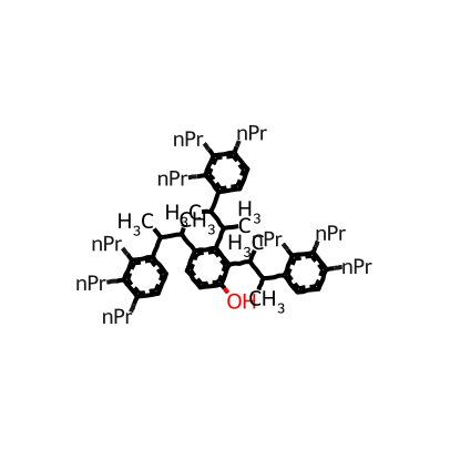 CCCc1ccc(C(C)C(C)c2ccc(O)c(C(C)C(C)c3ccc(CCC)c(CCC)c3CCC)c2C(C)C(C)c2ccc(CCC)c(CCC)c2CCC)c(CCC)c1CCC